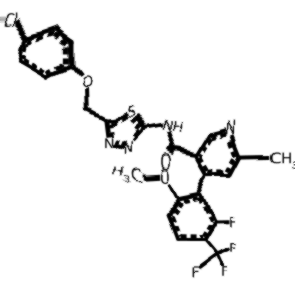 COc1ccc(C(F)(F)F)c(F)c1-c1cc(C)ncc1C(=O)Nc1nnc(COc2ccc(Cl)cc2)s1